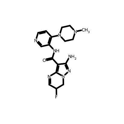 CN1CCN(c2ccncc2NC(=O)c2c(N)nn3c2N=CC(F)C3)CC1